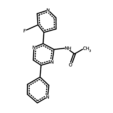 CC(=O)Nc1nc(-c2cccnc2)cnc1-c1ccncc1F